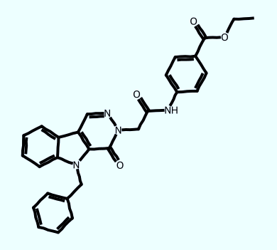 CCOC(=O)c1ccc(NC(=O)Cn2ncc3c4ccccc4n(Cc4ccccc4)c3c2=O)cc1